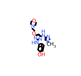 Cn1cnc(Nc2cc(OCCN3CCOCC3)nc(NC3C4CC5CC3CC(O)(C5)C4)n2)c1